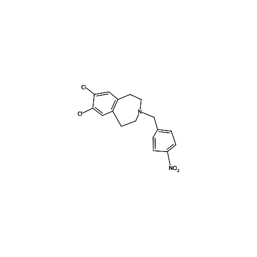 O=[N+]([O-])c1ccc(CN2CCc3cc(Cl)c(Cl)cc3CC2)cc1